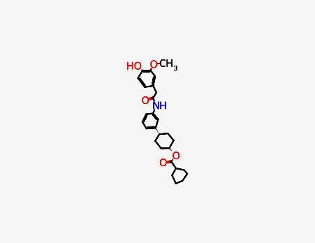 COc1cc(CC(=O)Nc2cccc([C@H]3CC[C@@H](OC(=O)C4CCCCC4)CC3)c2)ccc1O